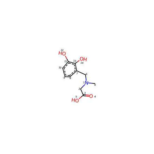 CN(CC(=O)O)Cc1cccc(O)c1O